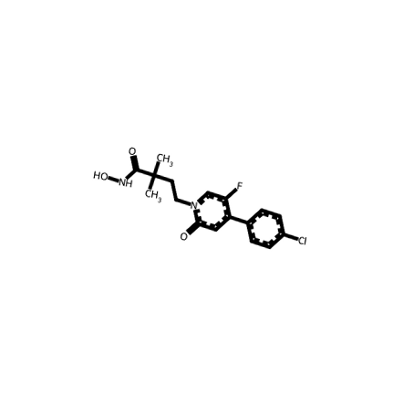 CC(C)(CCn1cc(F)c(-c2ccc(Cl)cc2)cc1=O)C(=O)NO